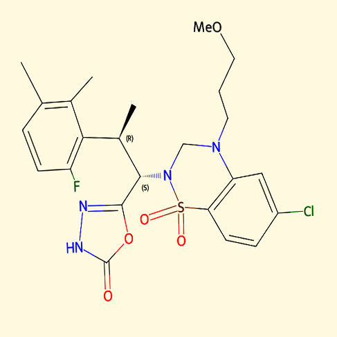 COCCCN1CN([C@H](c2n[nH]c(=O)o2)[C@H](C)c2c(F)ccc(C)c2C)S(=O)(=O)c2ccc(Cl)cc21